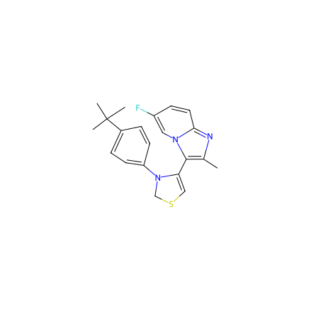 Cc1nc2ccc(F)cn2c1C1=CSCN1c1ccc(C(C)(C)C)cc1